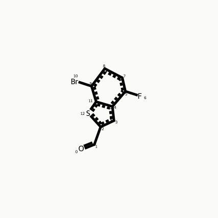 O=Cc1cc2c(F)ccc(Br)c2s1